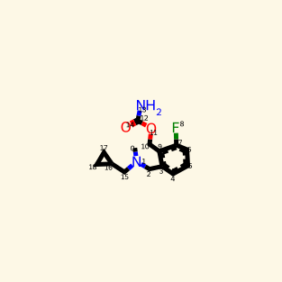 CN(Cc1cccc(F)c1COC(N)=O)CC1CC1